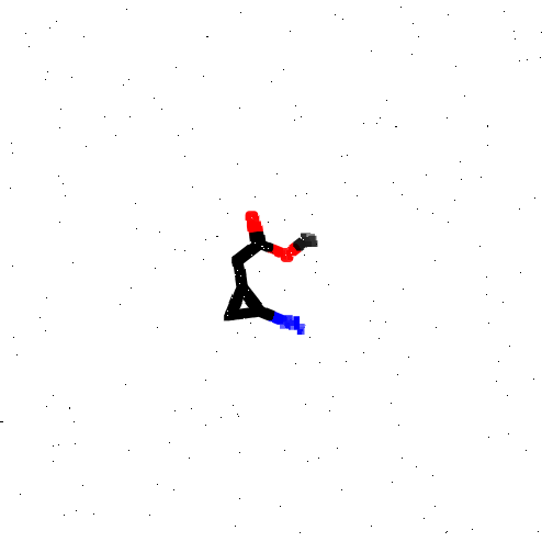 CCOC(=O)CC1CC1N